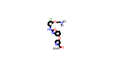 CCN(CC)CCOc1cc(Nc2nc3cc(Oc4ccnc(C(=O)NC)c4)ccc3o2)ccc1Cl